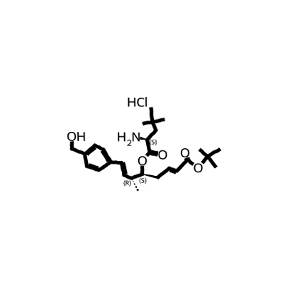 C[C@H](C=Cc1ccc(CO)cc1)[C@H](CC=CC(=O)OC(C)(C)C)OC(=O)[C@@H](N)CC(C)(C)C.Cl